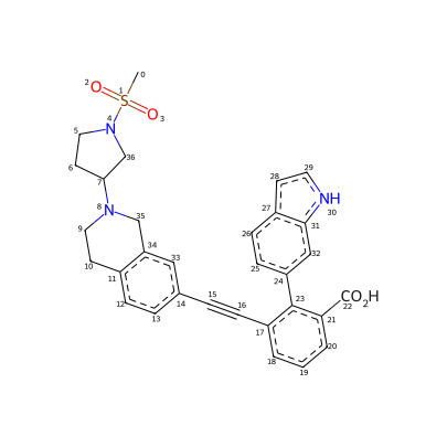 CS(=O)(=O)N1CCC(N2CCc3ccc(C#Cc4cccc(C(=O)O)c4-c4ccc5cc[nH]c5c4)cc3C2)C1